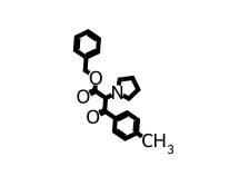 Cc1ccc(C(=O)C(C(=O)OCc2ccccc2)N2CCCC2)cc1